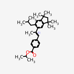 C/C(=C\c1ccc(C(=O)OC(C)C)cc1)c1cc2c(cc1CC(C)C)C(C)(C)CC2(C)C